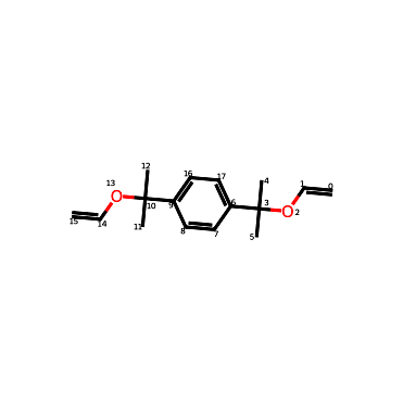 C=COC(C)(C)c1ccc(C(C)(C)OC=C)cc1